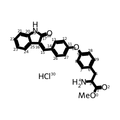 COC(=O)C(N)Cc1ccc(Oc2ccc(C=C3C(=O)Nc4ccccc43)cc2)cc1.Cl